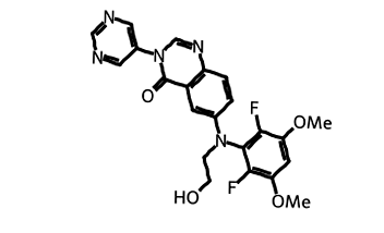 COc1cc(OC)c(F)c(N(CCO)c2ccc3ncn(-c4cncnc4)c(=O)c3c2)c1F